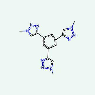 Cn1cc(-c2cc(-c3cn(C)nn3)cc(-c3cn(C)nn3)c2)nn1